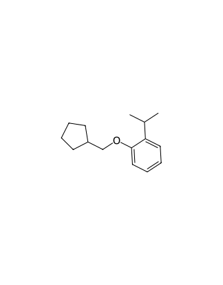 CC(C)c1ccccc1OCC1CCCC1